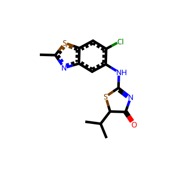 Cc1nc2cc(NC3=NC(=O)C(C(C)C)S3)c(Cl)cc2s1